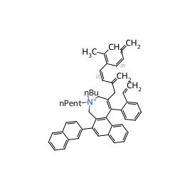 C=C/C=C\C(/C=C\C(=C)CC1=C(c2ccccc2C=C)c2c(c(-c3ccc4ccccc4c3)cc3ccccc23)C[N+](CCCC)(CCCCC)C1)=C(C)C